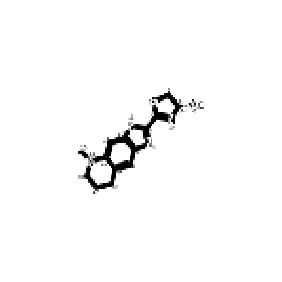 CC(=O)[C@H]1CSC(c2nc3cc4c(cc3s2)N(C)CCC4)=N1